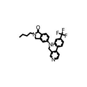 CCCCN1Cc2cc(NCc3cnccc3-c3ccc(C(F)(F)F)cc3)ccc2C1=O